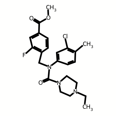 CCN1CCN(C(=O)N(Cc2ccc(C(=O)OC)cc2F)c2ccc(C)c(Cl)c2)CC1